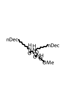 CCCCCCCCCCCCCCCCCCNC(=O)C(COC(=O)NCOCCOC)NC(=O)CCCCCCCCCCCCCCCCC